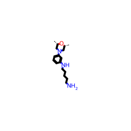 C[C@@H]1CN(c2cccc(NCCCCCN)c2)C[C@H](C)O1